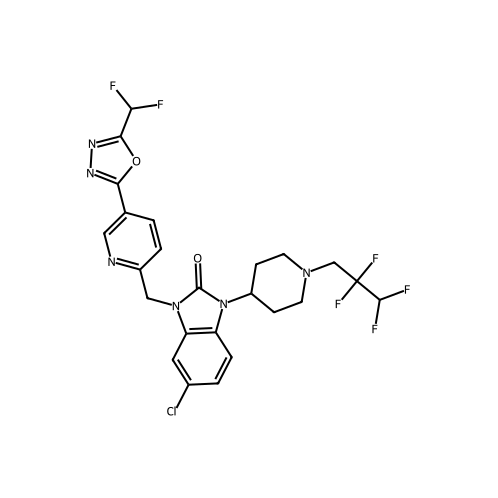 O=c1n(Cc2ccc(-c3nnc(C(F)F)o3)cn2)c2cc(Cl)ccc2n1C1CCN(CC(F)(F)C(F)F)CC1